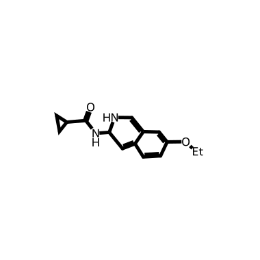 CCOc1ccc2c(c1)=CNC(NC(=O)C1CC1)C=2